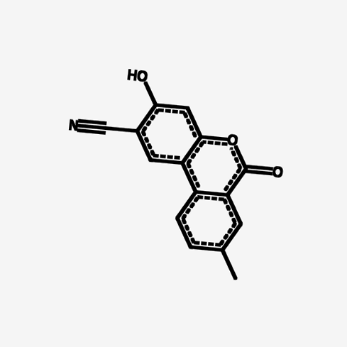 Cc1ccc2c(c1)c(=O)oc1cc(O)c(C#N)cc12